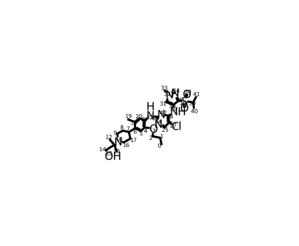 CCCOc1cc(C2CCN(C(C)(C)CO)CC2)c(C)cc1Nc1ncc(Cl)c(Nc2cn(C)nc2S(=O)(=O)C(C)C)n1